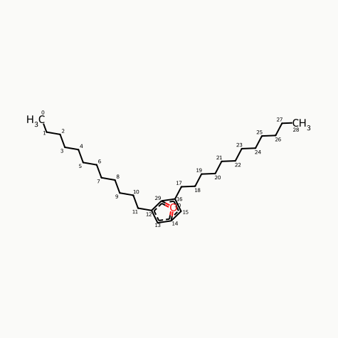 CCCCCCCCCCCCc1cc2cc(CCCCCCCCCCCC)c1o2